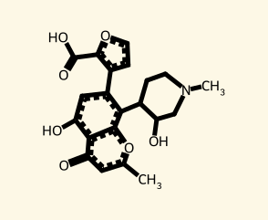 Cc1cc(=O)c2c(O)cc(-c3ccoc3C(=O)O)c(C3CCN(C)CC3O)c2o1